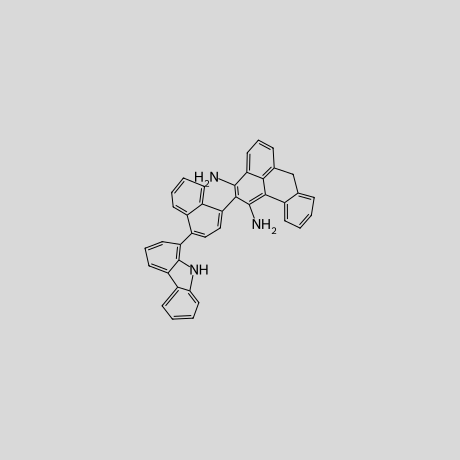 Nc1c(-c2ccc(-c3cccc4c3[nH]c3ccccc34)c3ccccc23)c(N)c2cccc3c2c1-c1ccccc1C3